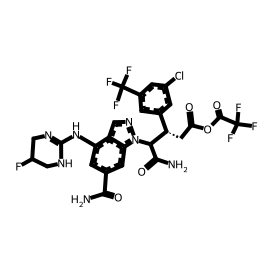 NC(=O)c1cc(NC2=NCC(F)CN2)c2cnn(C(C(N)=O)[C@@H](CC(=O)OC(=O)C(F)(F)F)c3cc(Cl)cc(C(F)(F)F)c3)c2c1